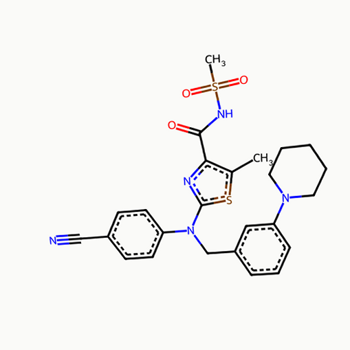 Cc1sc(N(Cc2cccc(N3CCCCC3)c2)c2ccc(C#N)cc2)nc1C(=O)NS(C)(=O)=O